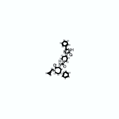 O=C(N[C@@H]1C[C@H](c2ccccc2)CCN(CC2CC2)C1=O)N1CCC(n2nc(-c3ccccc3)[nH]c2=O)CC1